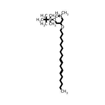 CCCCCC=CCC=CCCCCCCCCOC(CO[Si](C)(C)C(C)(C)C)CN(C)C